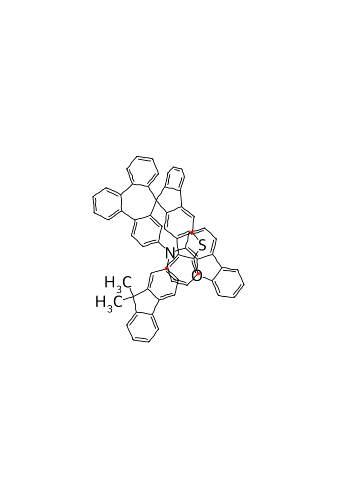 CC1(C)c2ccccc2-c2ccc(N(c3ccc4c(c3)C3(c5ccccc5-c5ccccc5-4)c4ccccc4-c4cc5sc6ccccc6c5cc43)c3cccc4c3oc3ccccc34)cc21